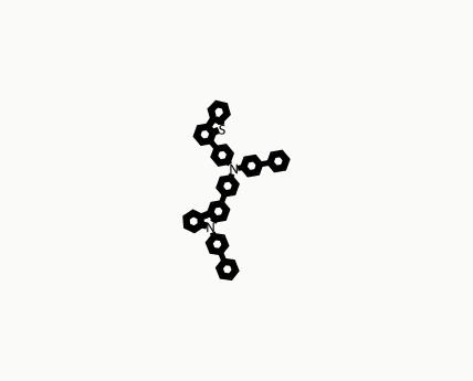 c1ccc(-c2ccc(N(c3ccc(-c4ccc5c(c4)c4ccccc4n5-c4ccc(-c5ccccc5)cc4)cc3)c3ccc(-c4cccc5c4sc4ccccc45)cc3)cc2)cc1